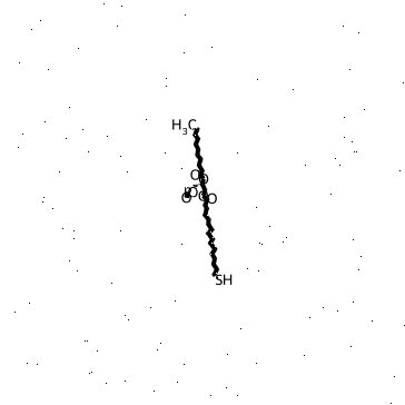 CCCCCCCCCCC(=O)O[C@@H](COP=O)COC(=O)CCCCCCCCCCCCCCCS